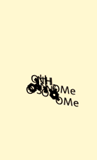 COc1ccc(NC(=O)Nc2sc3c(c2C(N)=O)CCOC3)c(OC)c1